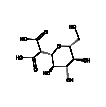 O=C(O)C(C(=O)O)[C@@H]1O[C@H](CO)[C@@H](O)[C@H](O)[C@H]1O